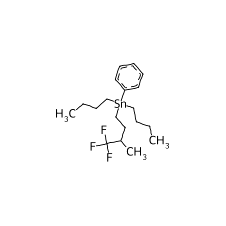 CCC[CH2][Sn]([CH2]CCC)([CH2]CC(C)C(F)(F)F)[c]1ccccc1